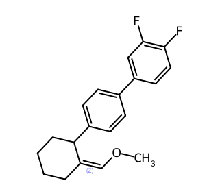 CO/C=C1/CCCCC1c1ccc(-c2ccc(F)c(F)c2)cc1